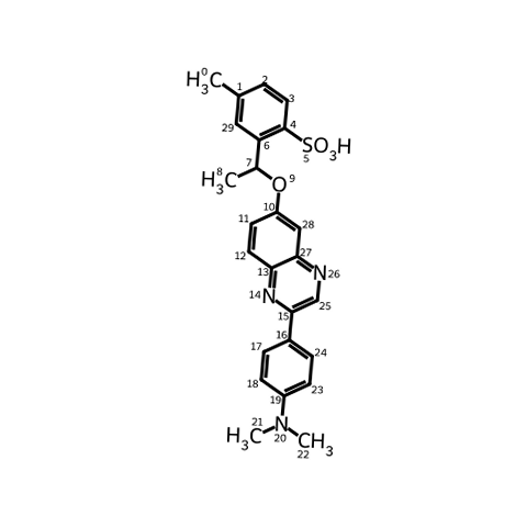 Cc1ccc(S(=O)(=O)O)c(C(C)Oc2ccc3nc(-c4ccc(N(C)C)cc4)cnc3c2)c1